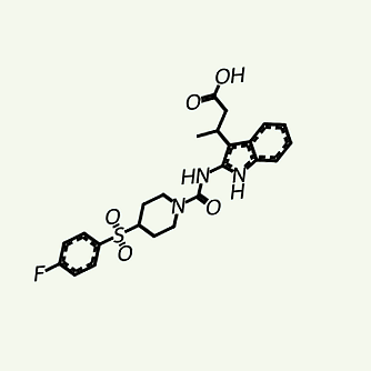 CC(CC(=O)O)c1c(NC(=O)N2CCC(S(=O)(=O)c3ccc(F)cc3)CC2)[nH]c2ccccc12